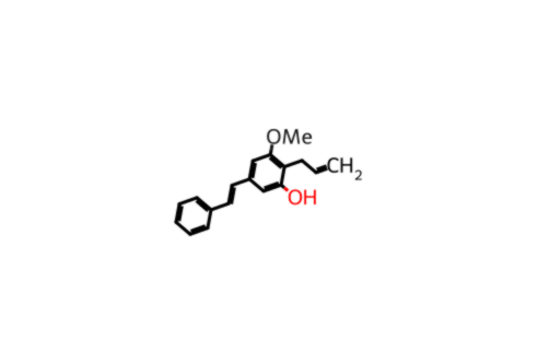 C=CCc1c(O)cc(/C=C/c2ccccc2)cc1OC